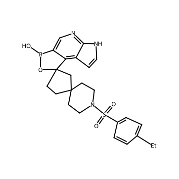 CCc1ccc(S(=O)(=O)N2CCC3(CC2)CCC2(C3)OB(O)c3cnc4[nH]ccc4c32)cc1